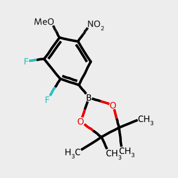 COc1c([N+](=O)[O-])cc(B2OC(C)(C)C(C)(C)O2)c(F)c1F